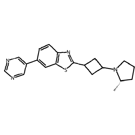 C[C@H]1CCCN1C1CC(c2nc3ccc(-c4cncnc4)cc3s2)C1